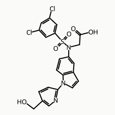 O=C(O)CN(c1ccc2c(ccn2-c2ccc(CO)cn2)c1)S(=O)(=O)c1cc(Cl)cc(Cl)c1